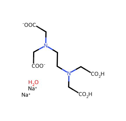 O.O=C([O-])CN(CCN(CC(=O)O)CC(=O)O)CC(=O)[O-].[Na+].[Na+]